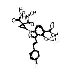 CNC(=O)C1(C(N)=O)CC1n1nc(C=Cc2ccc(F)cc2)c2c(OC)c(C(=O)O)ccc21